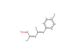 C/C(C=O)=C/C(C)=C/c1ccc(C)cc1